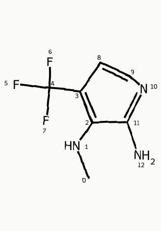 CNc1c(C(F)(F)F)ccnc1N